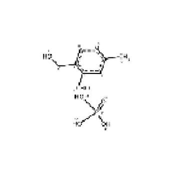 Cc1cc(C=O)c(CO)cn1.O=P(O)(O)O